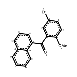 CCc1ccc(OC)c(C(=O)c2cccc3ccccc23)c1